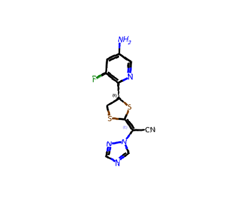 N#C/C(=C1/SC[C@@H](c2ncc(N)cc2F)S1)n1cncn1